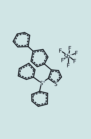 [F][Sb-]([F])([F])([F])([F])[F].c1ccc(-c2ccc(-c3ccsc3[S+](c3ccccc3)c3ccccc3)cc2)cc1